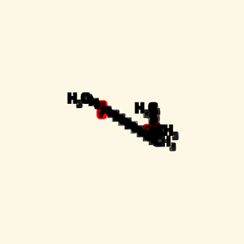 CCCCCOC(=O)CCCCCCCCCCCCCCC(CC)C(CC)C(=O)OCCCCC